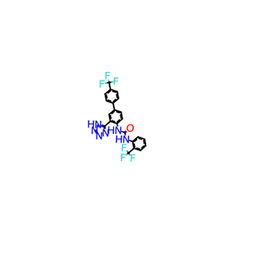 O=C(Nc1ccc(-c2ccc(C(F)(F)F)cc2)cc1-c1nnn[nH]1)Nc1ccccc1C(F)(F)F